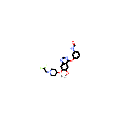 COc1cc2c(Oc3cccc(NC=O)c3)ncnc2cc1OC1CCN(CC(F)F)CC1